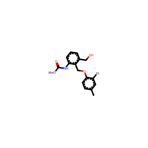 CCc1cc(C)ccc1OCc1c(CO)cccc1NC(=O)OC